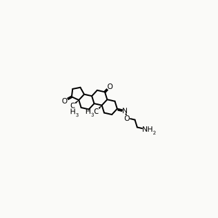 C[C@]12CC/C(=N\OCCN)CC1C(=O)CC1C2CC[C@]2(C)C(=O)CCC12